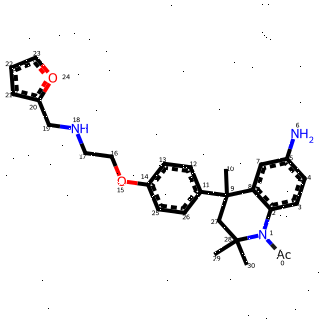 CC(=O)N1c2ccc(N)cc2C(C)(c2ccc(OCCNCc3ccco3)cc2)CC1(C)C